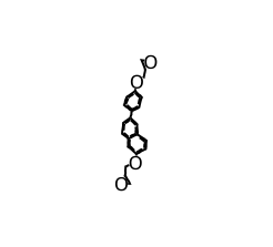 c1cc(-c2ccc3cc(OCC4CO4)ccc3c2)ccc1OCC1CO1